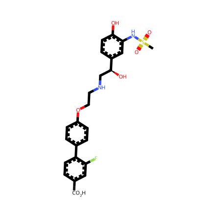 CS(=O)(=O)Nc1cc([C@@H](O)CNCCOc2ccc(-c3ccc(C(=O)O)cc3F)cc2)ccc1O